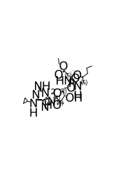 CCCC(=O)[C@H](C)NP(=O)(N[C@@H](C)C(=O)OCC)OC[C@H]1O[C@@H](n2cnc3c(NC4CC4)nc(N)nc32)[C@@](C)(O)C1O